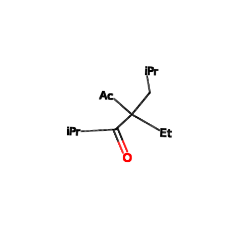 CCC(CC(C)C)(C(C)=O)C(=O)C(C)C